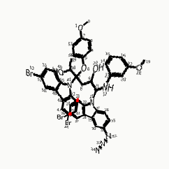 COc1ccc(OC(CC(O)C(Nc2cccc(OC)c2)n2c3ccc(Br)cc3c3cc(N=[N+]=[N-])ccc32)(C(C)O)n2c3ccc(Br)cc3c3cc(Br)ccc32)cc1